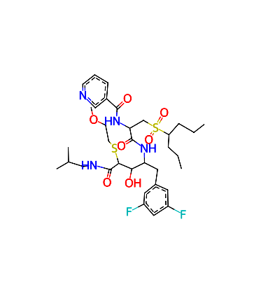 CCCC(CCC)S(=O)(=O)CC(NC(=O)c1cccnc1)C(=O)NC(Cc1cc(F)cc(F)c1)C(O)C(SCCOC)C(=O)NCC(C)C